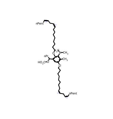 CCCCC/C=C\C/C=C\CCCCCCCCOc1cc(C(CCC)OC(=O)O)c(OCCCCCCCC/C=C\C/C=C\CCCCC)c(N(C)C)c1C